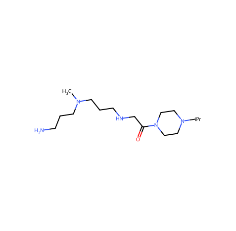 CC(C)N1CCN(C(=O)CNCCCN(C)CCCN)CC1